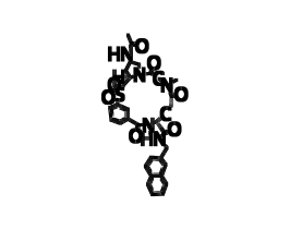 CC(=O)N[C@@H]1C[C@H]2CS(=O)(=O)c3cccc(c3)C(=O)N(C)[C@H](C(=O)NCc3ccc4ccccc4c3)CCC(=O)N(C)CC(=O)N2C1